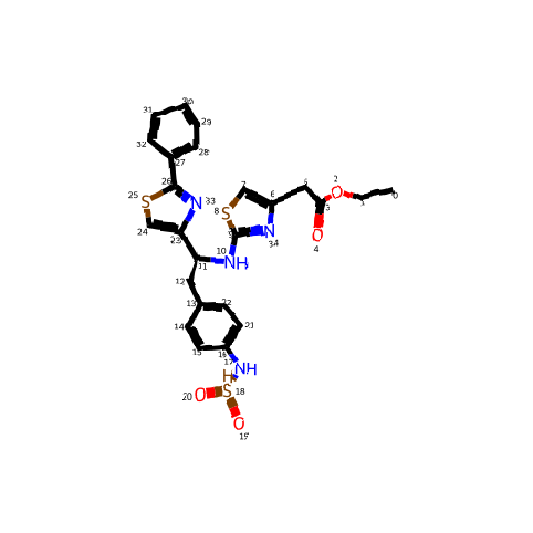 CCOC(=O)Cc1csc(N[C@@H](Cc2ccc(N[SH](=O)=O)cc2)c2csc(-c3ccccc3)n2)n1